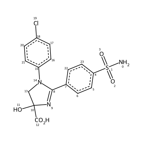 NS(=O)(=O)c1ccc(C2=NC(O)(C(=O)O)CN2c2ccc(Cl)cc2)cc1